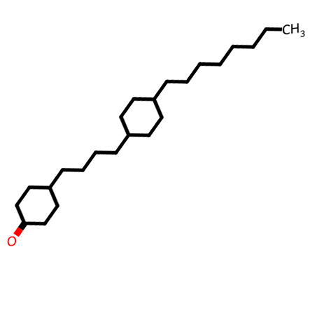 CCCCCCCCC1CCC(CCCCC2CCC(=O)CC2)CC1